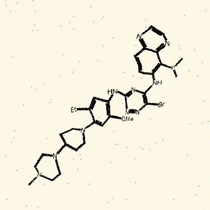 CCc1cc(Nc2nnc(Br)c(Nc3ccc4nccnc4c3P(C)C)n2)c(OC)cc1N1CCC(N2CCN(C)CC2)CC1